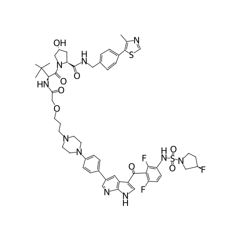 Cc1ncsc1-c1ccc(CNC(=O)[C@@H]2C[C@@H](O)CN2C(=O)[C@@H](NC(=O)COCCCN2CCN(c3ccc(-c4cnc5[nH]cc(C(=O)c6c(F)ccc(NS(=O)(=O)N7CC[C@@H](F)C7)c6F)c5c4)cc3)CC2)C(C)(C)C)cc1